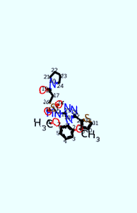 COc1cccc(OC)c1-n1c(NS(=O)(=O)CCC(=O)N2CCCC2)nnc1-c1cccs1